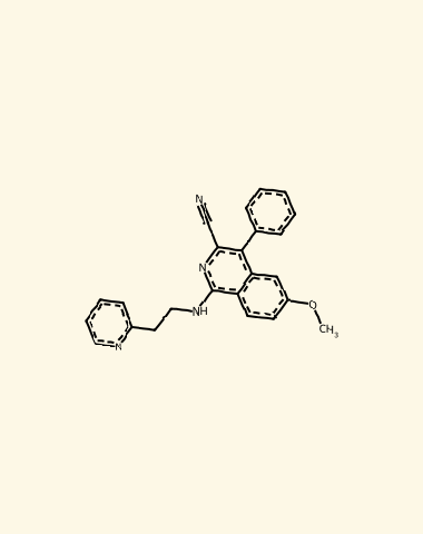 COc1ccc2c(NCCc3ccccn3)nc(C#N)c(-c3ccccc3)c2c1